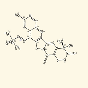 C[C@@]1(O)C(=O)OCc2c1cc1n(c2=O)Cc2c-1nc1ccc(O)cc1c2/C=C/[SH](C)(C)=O